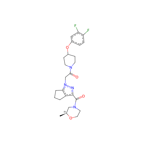 C[C@H]1CN(C(=O)c2nn(CC(=O)N3CCC(Oc4ccc(F)c(F)c4)CC3)c3c2CCC3)CCO1